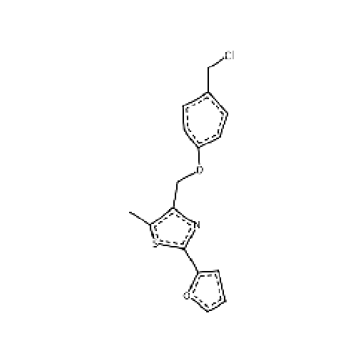 Cc1sc(-c2ccco2)nc1COc1ccc(CCl)cc1